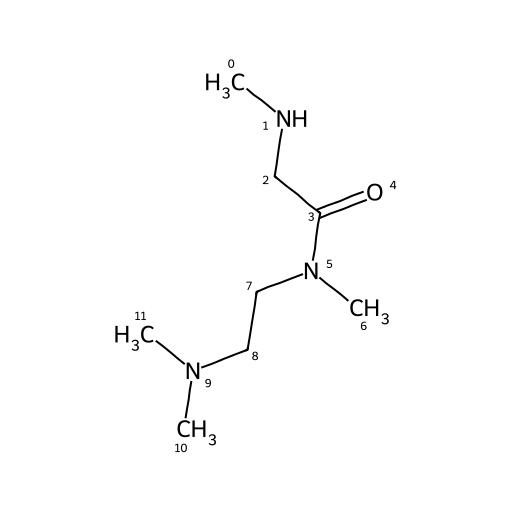 CNCC(=O)N(C)CCN(C)C